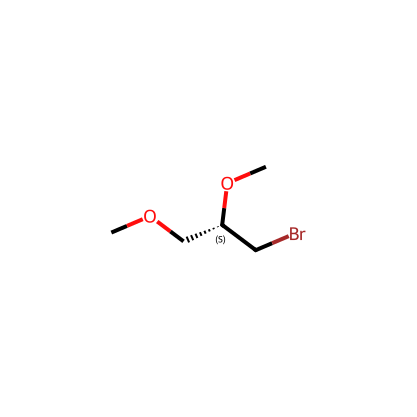 COC[C@@H](CBr)OC